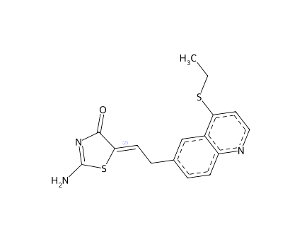 CCSc1ccnc2ccc(C/C=C3\SC(N)=NC3=O)cc12